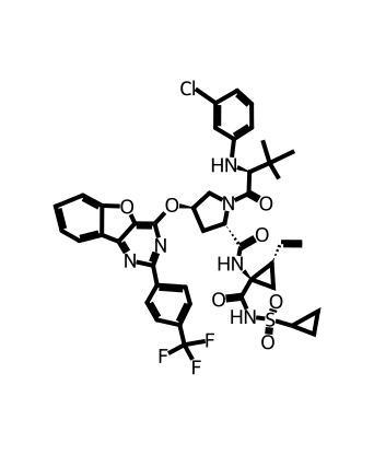 C=C[C@@H]1C[C@]1(NC(=O)[C@@H]1C[C@@H](Oc2nc(-c3ccc(C(F)(F)F)cc3)nc3c2oc2ccccc23)CN1C(=O)[C@@H](Nc1cccc(Cl)c1)C(C)(C)C)C(=O)NS(=O)(=O)C1CC1